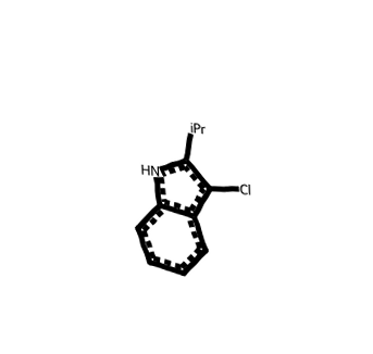 CC(C)c1[nH]c2ccccc2c1Cl